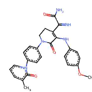 COc1ccc(NC2=C(C(=N)C(N)=O)CCN(c3ccc(-n4cccc(C)c4=O)cc3)C2=O)cc1